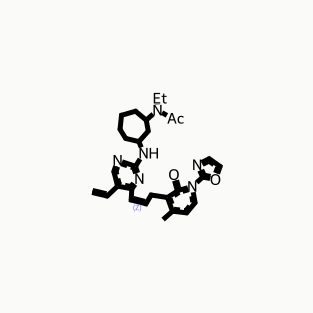 C=Cc1cnc(NC2CCCCC(N(CC)C(C)=O)C2)nc1/C=C\Cc1c(C)ccn(-c2ncco2)c1=O